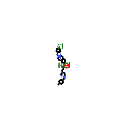 Cc1ccc(CN2CCC(CCCC(=O)c3ccc4c(c3)CCN(Cc3ccc(Cl)cc3)CC4)CC2)cc1.Cl.Cl